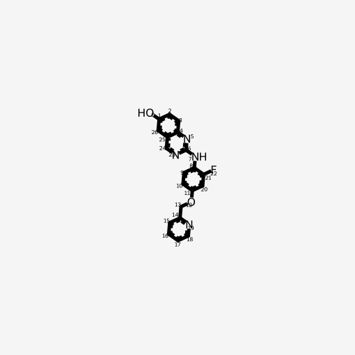 Oc1ccc2nc(Nc3ccc(OCc4ccccn4)cc3F)ncc2c1